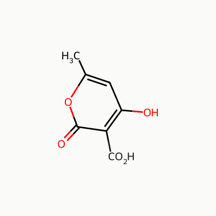 Cc1cc(O)c(C(=O)O)c(=O)o1